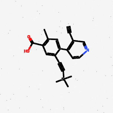 C#Cc1cnccc1-c1cc(C)c(C(=O)O)cc1C#C[Si](C)(C)C